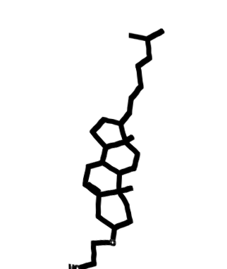 CC(C)CCCCCC1CCC2C3CC=C4CC(OCCO)CCC4(C)C3CCC12C